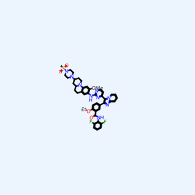 CCOc1ccc(-c2nc3ccccn3c2-c2ccnc(Nc3cc4c(cc3OC)N3CCC(N5CCN(S(C)(=O)=O)CC5)CC3CC4)n2)cc1C(=O)Nc1c(F)cccc1F